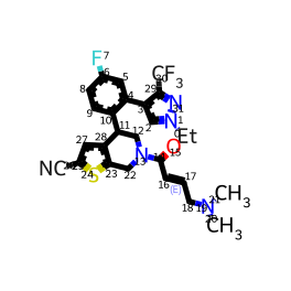 CCn1cc(-c2cc(F)ccc2C2CN(C(=O)/C=C/CN(C)C)Cc3sc(C#N)cc32)c(C(F)(F)F)n1